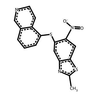 Cc1nc2cc(Sc3cccc4cnccc34)c([N+](=O)[O-])cc2s1